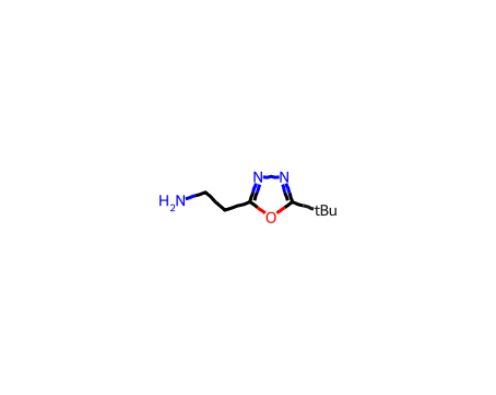 CC(C)(C)c1nnc(CCN)o1